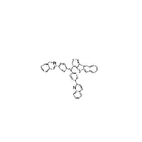 c1ccc2cc(-c3ccc(N(c4ccc(-c5ccc6ccccc6n5)cc4)c4cccc5c4sc4cc6ccccc6cc45)cc3)ncc2c1